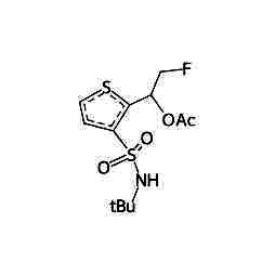 CC(=O)OC(CF)c1sccc1S(=O)(=O)NC(C)(C)C